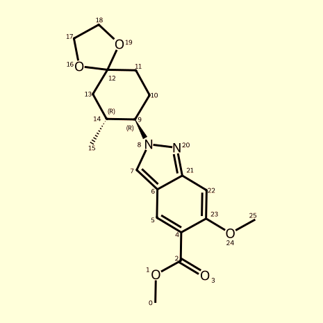 COC(=O)c1cc2cn([C@@H]3CCC4(C[C@H]3C)OCCO4)nc2cc1OC